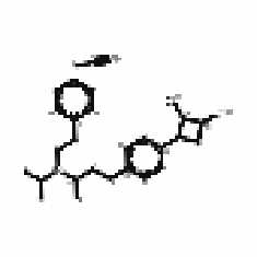 CC#N.CC(C)N(CCc1ccccc1)C(C)CCc1ccc(C2CC(Cl)C2Cl)cc1